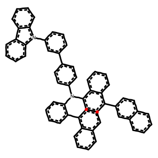 c1cc(-c2ccc(N(c3ccccc3-c3cccc4ccccc34)c3ccc(-c4ccc5ccccc5c4)c4ccccc34)cc2)cc(-n2c3ccccc3c3ccccc32)c1